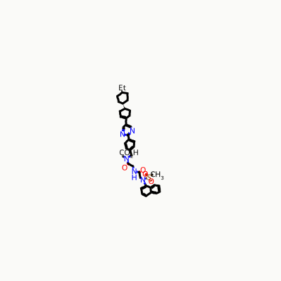 CC[C@H]1CC[C@H](C2CC=C(c3cnc(-c4ccc(CN(CC(=O)O)C(=O)CNC(=O)CN(c5cccc6ccccc56)S(C)(=O)=O)cc4)nc3)CC2)CC1